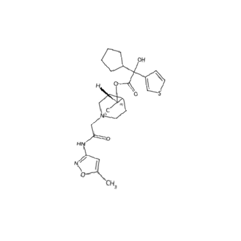 Cc1cc(NC(=O)C[N+]23CCC(CC2)[C@@H](OC(=O)C(O)(c2ccsc2)C2CCCC2)C3)no1